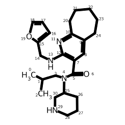 CC(C)CN(C(=O)c1cc2c(nc1NCc1ccco1)CCCCC2)C1CCCNC1